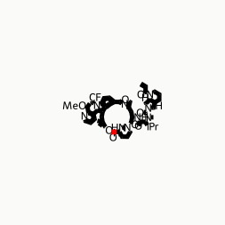 C=CC(=O)N1CCC[C@H]2CN(C(=O)N(C)C(C(=O)N[C@H]3Cc4coc(n4)-c4ccc5c(c4)c(c(-c4cccnc4[C@H](C)OC)n5CC(F)(F)F)CC(C)(C)COC(=O)[C@@H]4CCCN(N4)C3=O)C(C)C)C[C@H]21